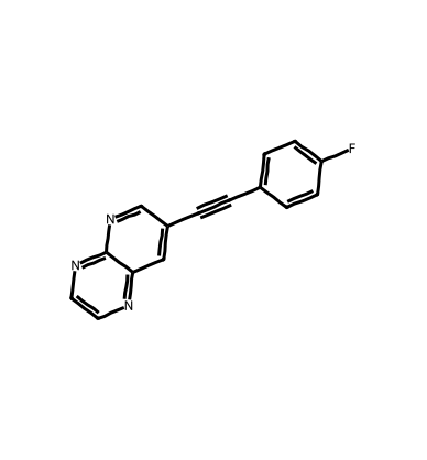 Fc1ccc(C#Cc2cnc3nccnc3c2)cc1